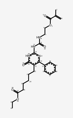 C=C(C)C(=O)OCCNC(=O)Nc1nc(-c2ccccc2)c(CCCCCC(=O)OCC)c(=O)[nH]1